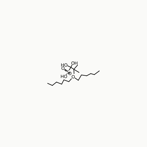 CC(C)(C)C(O)(O)S(=O)(=O)O.CCCCCCOCCCCCC